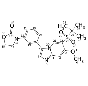 COc1cc2ncc(-c3cccc(N4CCOC4=O)c3)n2cc1S(=O)(=O)C(C)(C)C